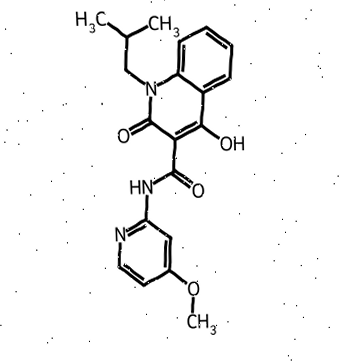 COc1ccnc(NC(=O)c2c(O)c3ccccc3n(CC(C)C)c2=O)c1